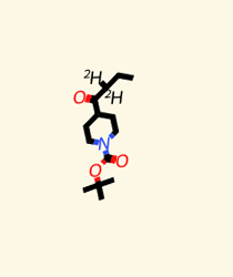 [2H]C([2H])(CC)C(=O)C1CCN(C(=O)OC(C)(C)C)CC1